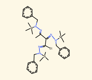 CCC(=N\N(Cc1ccccc1)[Si](C)(C)C)/C(=N\N(Cc1ccccc1)[Si](C)(C)C)C(/C)=N/N(Cc1ccccc1)[Si](C)(C)C